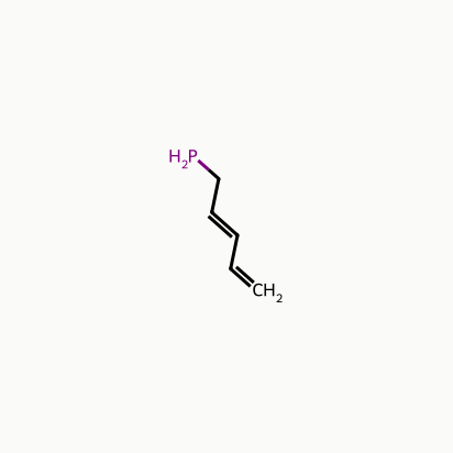 C=CC=CCP